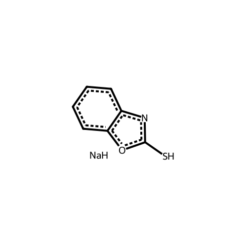 Sc1nc2ccccc2o1.[NaH]